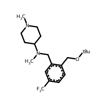 CN1CCC(N(C)Cc2cc(C(F)(F)F)ccc2COC(C)(C)C)CC1